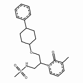 Cc1cccn(C(CNS(C)(=O)=O)COC2CCC(c3ccccc3)CC2)c1=O